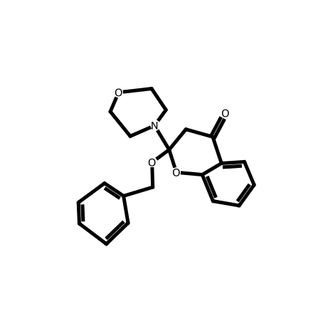 O=C1CC(OCc2ccccc2)(N2CCOCC2)Oc2ccccc21